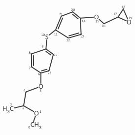 COC(C)COc1ccc(Sc2ccc(OCC3CO3)cc2)cc1